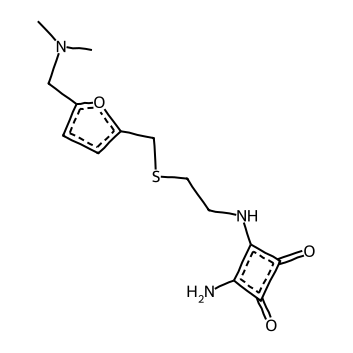 CN(C)Cc1ccc(CSCCNc2c(N)c(=O)c2=O)o1